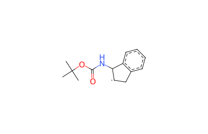 CC(C)(C)OC(=O)NC1[CH]Cc2ccccc21